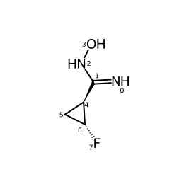 N=C(NO)[C@@H]1C[C@H]1F